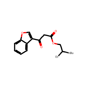 CCCCC(CC)COC(=O)CC(=O)c1coc2ccccc12